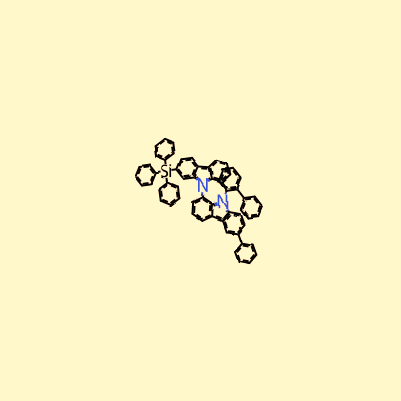 c1ccc(-c2ccc3c(c2)c2cccc(-n4c5ccccc5c5ccc([Si](c6ccccc6)(c6ccccc6)c6ccccc6)cc54)c2n3-c2ccccc2-c2ccccc2)cc1